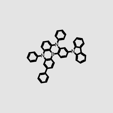 c1ccc(-c2ccc3c(c2)N(c2ccccc2)c2cccc4c2B3c2ccc(-n3c5ccccc5c5ccccc53)cc2N4c2ccccc2)cc1